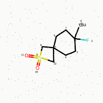 CC(C)(C)C1(F)CCC2(CC1)CS(=O)(=O)C2